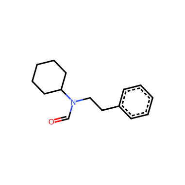 O=CN(CCc1ccccc1)C1CCCCC1